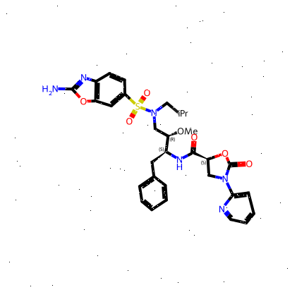 CO[C@H](CN(CC(C)C)S(=O)(=O)c1ccc2nc(N)oc2c1)[C@H](Cc1ccccc1)NC(=O)[C@@H]1CN(c2ccccn2)C(=O)O1